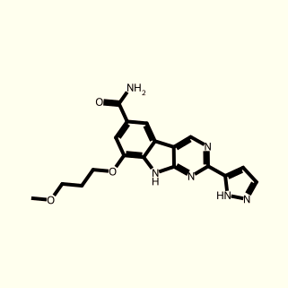 COCCCOc1cc(C(N)=O)cc2c1[nH]c1nc(-c3ccn[nH]3)ncc12